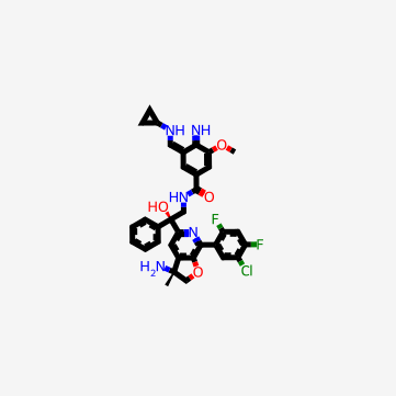 COC1=CC(C(=O)NC[C@@](O)(c2ccccc2)c2cc3c(c(-c4cc(Cl)c(F)cc4F)n2)OC[C@]3(C)N)=C/C(=C/NC2CC2)C1=N